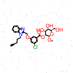 C#CCCCn1c(COc2cc(Cl)cc(C(=O)O[C@H]3[C@@H](OC)O[C@H](CO)[C@@H](O)[C@@H]3O)c2)nc2ccccc21